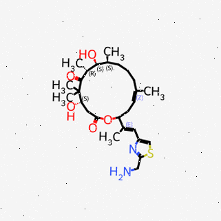 C/C1=C/CC(/C(C)=C/c2csc(CN)n2)OC(=O)C[C@H](O)C(C)(C)C(=O)[C@H](C)[C@@H](O)[C@@H](C)CCC1